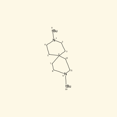 CC(C)(C)N1CCC2(CC1)CCN(C(C)(C)C)CC2